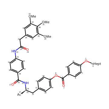 CCCCCCCOc1ccc(C(=O)Oc2ccc(C[C@H](NC(=O)c3ccc(NC(=O)Cc4cc(OC)c(OC)c(OC)c4)cc3)C(C)=O)cc2)cc1